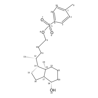 Cc1ccc(S(=O)(=O)OCCC[C@@H](C)[C@H]2CCC3[C@@H](O)CCC[C@@]32C)cc1